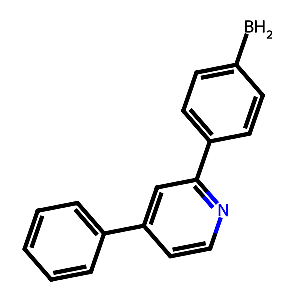 Bc1ccc(-c2cc(-c3ccccc3)ccn2)cc1